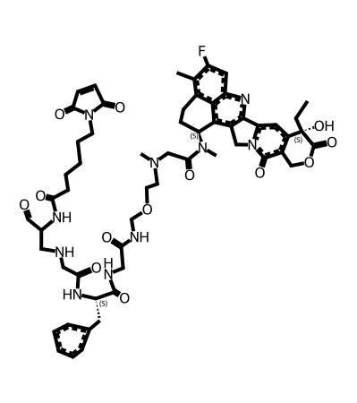 CC[C@@]1(O)C(=O)OCc2c1cc1n(c2=O)Cc2c-1nc1cc(F)c(C)c3c1c2[C@@H](N(C)C(=O)CN(C)CCOCNC(=O)CNC(=O)[C@H](Cc1ccccc1)NC(=O)CNCC(C=O)NC(=O)CCCCCN1C(=O)C=CC1=O)CC3